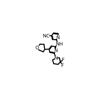 N#Cc1ccnc(Nc2cc(C3CCOCC3)cc(N3CCCC(F)(F)C3)n2)c1